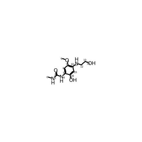 CNC(=O)Nc1cc(OC)c(NCCO)cc1O